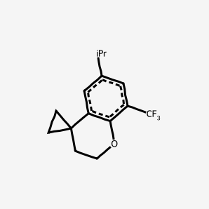 CC(C)c1cc(C(F)(F)F)c2c(c1)C1(CCO2)CC1